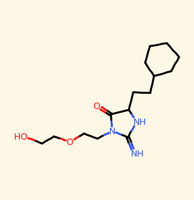 N=C1NC(CCC2CCCCC2)C(=O)N1CCOCCO